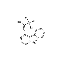 O=C(O)C(Cl)(Cl)Cl.c1ccc2c(c1)oc1ccccc12